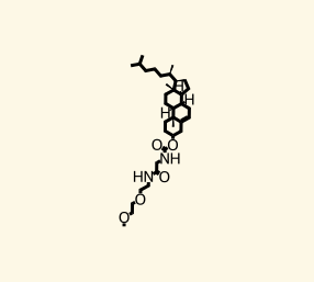 COCCOCCNC(=O)CNC(=O)OC1CC[C@@]2(C)C(=CC[C@H]3[C@@H]4CC[C@H]([C@H](C)CCCC(C)C)[C@@]4(C)CC[C@@H]32)C1